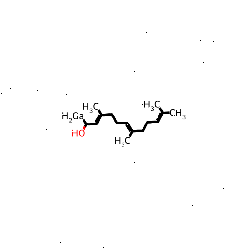 CC(C)=CCCC(C)=CCCC(C)=C[CH](O)[GaH2]